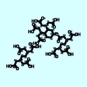 O=C(O)CN(CC(=O)O)C1CCCCC1N(CC(=O)O)CC(=O)O.O=C(O)CN(CCN(CC(=O)O)CC(=O)O)CC(=O)O.O=C(O)CN(CCN(CC(=O)O)CC(=O)O)CC(=O)O